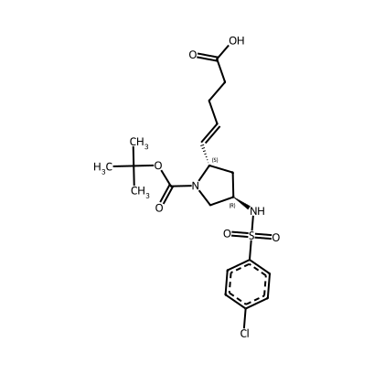 CC(C)(C)OC(=O)N1C[C@H](NS(=O)(=O)c2ccc(Cl)cc2)C[C@H]1C=CCCC(=O)O